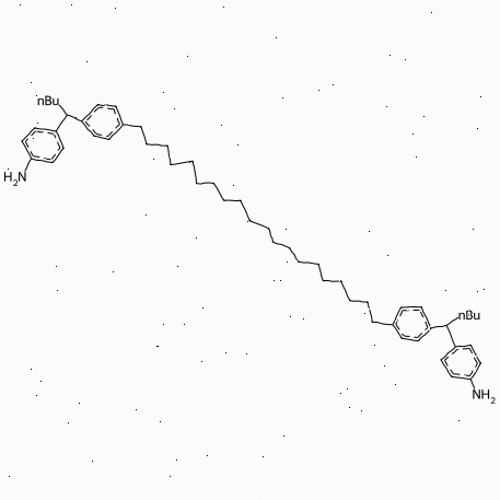 CCCCC(c1ccc(N)cc1)c1ccc(CCCCCCCCCCCCCCCCCCCCc2ccc(C(CCCC)c3ccc(N)cc3)cc2)cc1